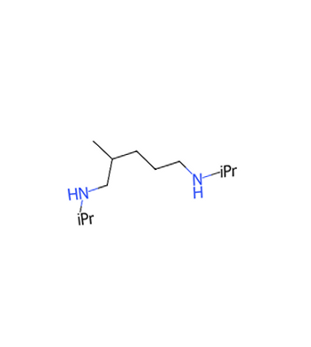 CC(CCCNC(C)C)CNC(C)C